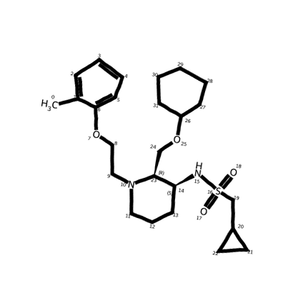 Cc1ccccc1OCCN1CCC[C@H](NS(=O)(=O)CC2CC2)[C@@H]1COC1CCCCC1